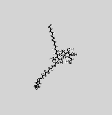 CCCCCCCCCCCCCC[C@@H](O)[C@@H](O)[C@H](COC1OC(CO)C(O)C(O)C1O)NC(=O)CCCCCCCCCCN1CC2(COC2)C1